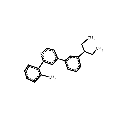 CCC(CC)c1cccc(-c2ccnc(-c3ccccc3C)c2)c1